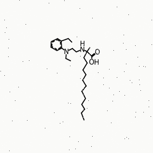 CCCCCCCCCCCCC(C)(NCCN(CC)c1ccccc1CC)C(=O)O